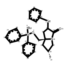 CC(C)(C)[Si](OC[C@@]12CC([Se]c3ccccc3)C(=O)N1C[C@H](F)C2)(c1ccccc1)c1ccccc1